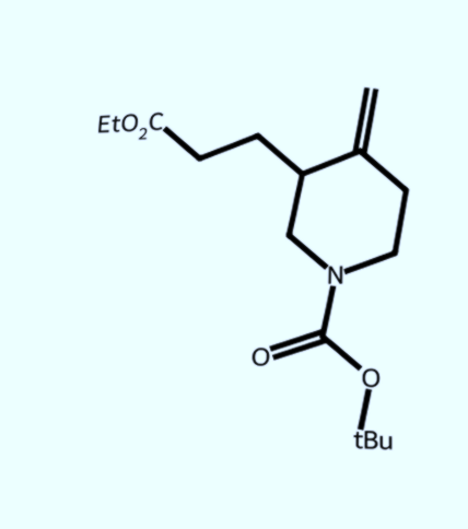 C=C1CCN(C(=O)OC(C)(C)C)CC1CCC(=O)OCC